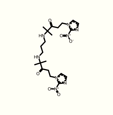 CC(C)(NCCCNC(C)(C)C(=O)CCn1ccnc1[N+](=O)[O-])C(=O)CCn1ccnc1[N+](=O)[O-]